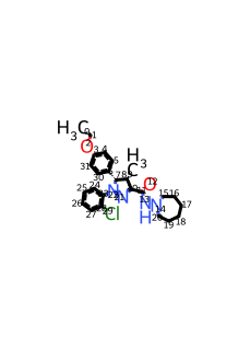 CCOc1ccc([C@@H]2[C@H](C)C(C(=O)NN3CCCCCC3)=NN2c2ccccc2Cl)cc1